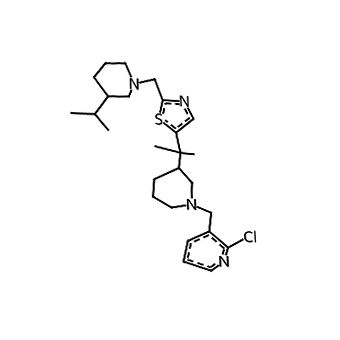 CC(C)C1CCCN(Cc2ncc(C(C)(C)C3CCCN(Cc4cccnc4Cl)C3)s2)C1